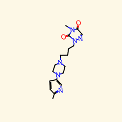 Cc1ccc(N2CCN(CCCCn3ncc(=O)n(C)c3=O)CC2)cn1